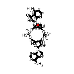 Nc1ncnc2c1ncn2[C@@H]1O[C@@H]2COP(=O)(S)O[C@@H]3[C@H](O)[C@H](C[C@H]3n3[nH]c(=O)c4c(N)ccnc43)OP(=O)(S)O[C@H]2[C@H]1F